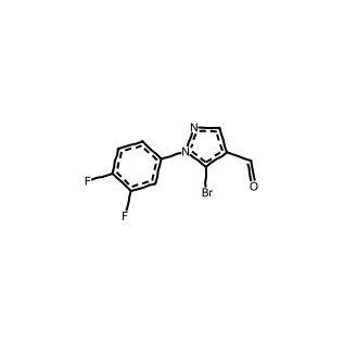 O=Cc1cnn(-c2ccc(F)c(F)c2)c1Br